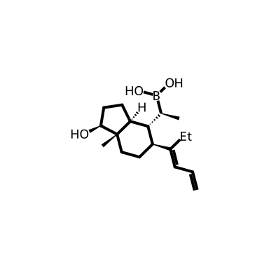 C=C/C=C(\CC)[C@H]1CC[C@]2(C)[C@@H](O)CC[C@H]2[C@@H]1[C@H](C)B(O)O